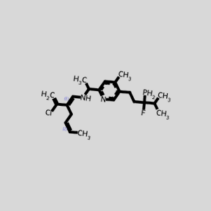 C=C(Cl)/C(=C/NC(C)c1cc(C)c(CCC(F)(P)C(C)C)cn1)C/C=C\C